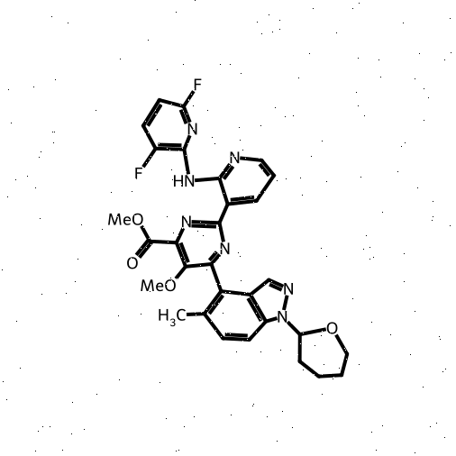 COC(=O)c1nc(-c2cccnc2Nc2nc(F)ccc2F)nc(-c2c(C)ccc3c2cnn3C2CCCCO2)c1OC